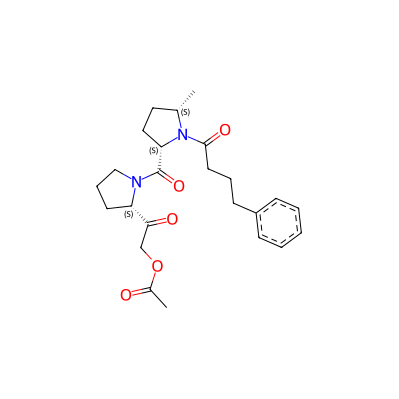 CC(=O)OCC(=O)[C@@H]1CCCN1C(=O)[C@@H]1CC[C@H](C)N1C(=O)CCCc1ccccc1